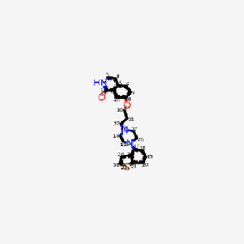 O=c1[nH]ccc2ccc(OCCCN3CCN(c4cccc5sccc45)CC3)cc12